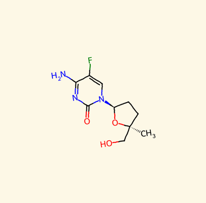 C[C@@]1(CO)CC[C@H](n2cc(F)c(N)nc2=O)O1